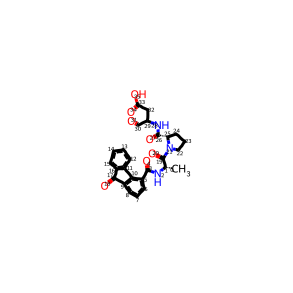 C[C@H](NC(=O)c1cccc2c1-c1ccccc1C2=O)C(=O)N1CCC[C@H]1C(=O)NC(C=O)CC(=O)O